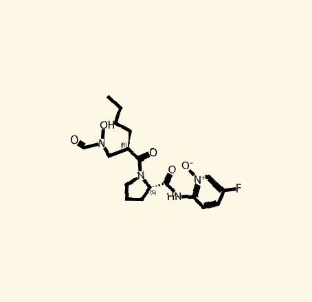 CCCC[C@H](CN(O)C=O)C(=O)N1CCC[C@H]1C(=O)Nc1ccc(F)c[n+]1[O-]